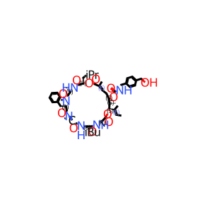 C/C=C(\C)[C@H]1OC(=O)[C@@H](C)NC(=O)[C@H](C(C)CC)NC(=O)CN(C)C(=O)[C@@H](Cc2ccccc2)N(C)C(=O)[C@H](C)NC(=O)[C@@H](CC(C)C)OC(=O)/C(C)=C/C[C@H](OC(=O)NCc2ccc(CO)cc2)[C@@H]1C